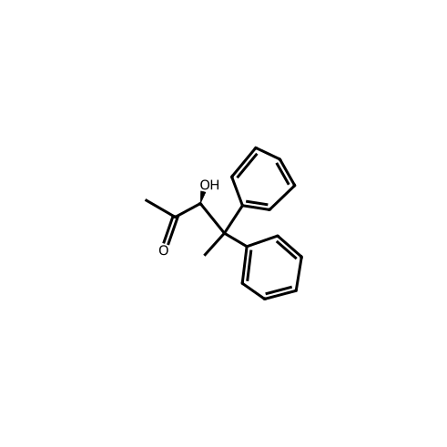 CC(=O)[C@@H](O)C(C)(c1ccccc1)c1ccccc1